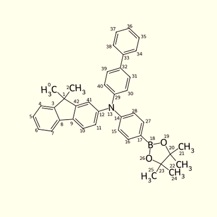 CC1(C)c2ccccc2-c2ccc(N(c3ccc(B4OC(C)(C)C(C)(C)O4)cc3)c3ccc(-c4ccccc4)cc3)cc21